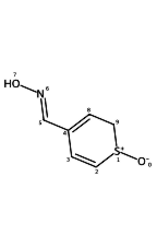 [O-][S+]1C=CC(C=NO)=CC1